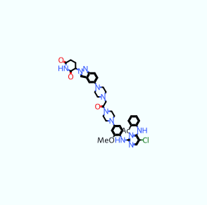 COc1cc(N2CCN(C(=O)CN3CCN(c4ccc5nn(C6CCC(=O)NC6=O)cc5c4)CC3)CC2)ccc1Nc1ncc(Cl)c(Nc2ccccc2C(C)=O)n1